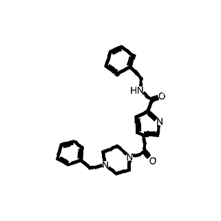 O=C(NCc1ccccc1)c1ccc(C(=O)N2CCN(Cc3ccccc3)CC2)cn1